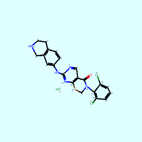 Cl.O=C1c2cnc(Nc3ccc4c(c3)CNCC4)nc2SCN1c1c(Cl)cccc1Cl